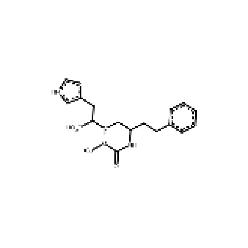 CC(C)(C)OC(=O)NC(CCc1ccccc1)CNC(Cc1c[nH]cn1)C(=O)O